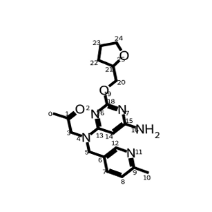 CC(=O)CN(Cc1ccc(C)nc1)c1cc(N)nc(OCC2CCCO2)n1